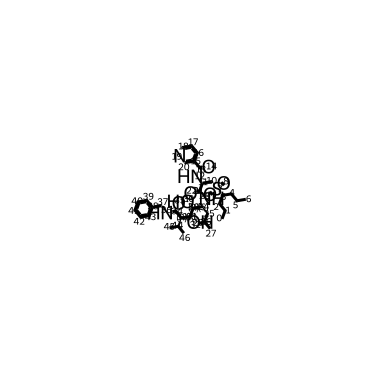 CCCC(CCC)S(=O)(=O)CC(NC(=O)c1cccnc1)C(=O)N[C@@H](CC(C)C)[C@@H](O)[C@H](O)[C@H](C(=O)NCc1ccccc1)C(C)C